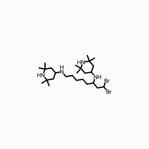 CC1(C)CC(NCCCCCC(CC(Br)Br)NC2CC(C)(C)NC(C)(C)C2)CC(C)(C)N1